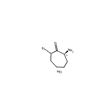 CCN1CCCC[C@H](N)C1=O.Cl